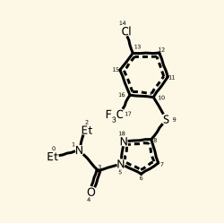 CCN(CC)C(=O)n1ccc(Sc2ccc(Cl)cc2C(F)(F)F)n1